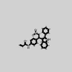 C=CC(=O)Nc1ccc(C(C[N+](=O)[O-])c2c(-c3ccccc3)[nH]c3ccccc23)cc1